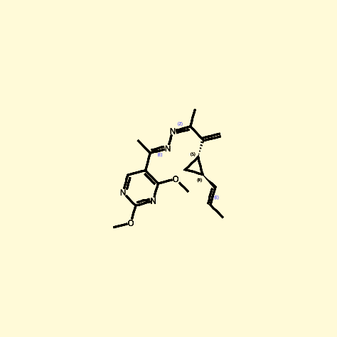 C=C(/C(C)=N\N=C(/C)c1cnc(OC)nc1OC)[C@H]1C[C@@H]1/C=C/C